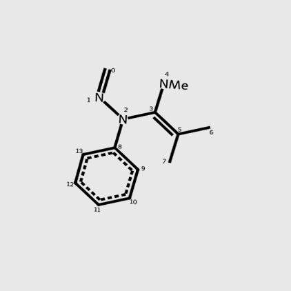 C=NN(C(NC)=C(C)C)c1ccccc1